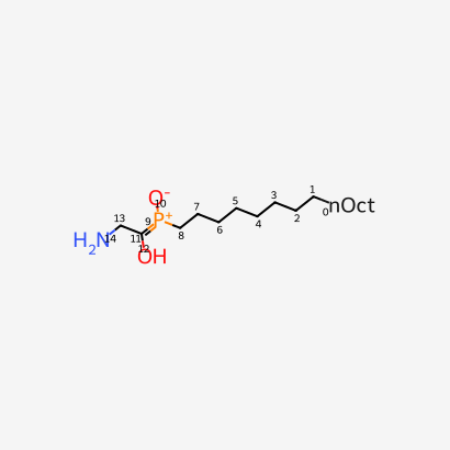 CCCCCCCCCCCCCCCC/[P+]([O-])=C(\O)CN